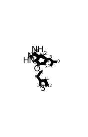 CC(C)Cc1cc(OCCC2C=CSC2)c2[nH]nc(N)c2c1